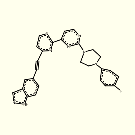 Fc1ccc(N2CCN(c3nccc(-c4nccc(C#Cc5ccc6[nH]ncc6c5)n4)n3)CC2)cc1